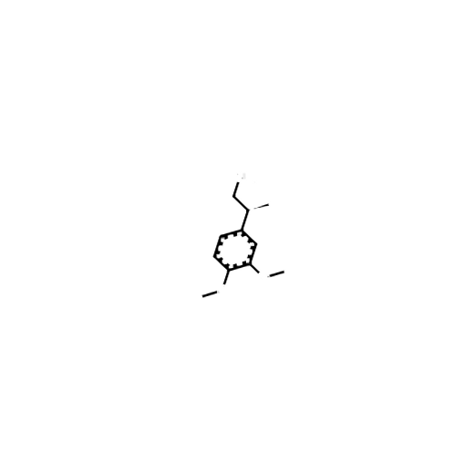 COc1ccc([C@H](C)CN)cc1OC